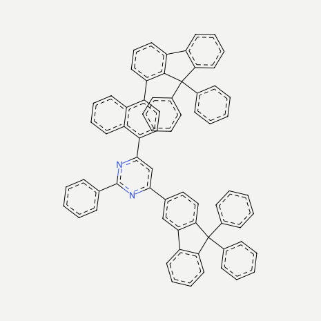 c1ccc(-c2nc(-c3ccc4c(c3)-c3ccccc3C4(c3ccccc3)c3ccccc3)cc(-c3ccc(-c4cccc5c4C(c4ccccc4)(c4ccccc4)c4ccccc4-5)c4ccccc34)n2)cc1